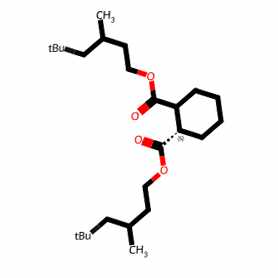 CC(CCOC(=O)C1CCCC[C@@H]1C(=O)OCCC(C)CC(C)(C)C)CC(C)(C)C